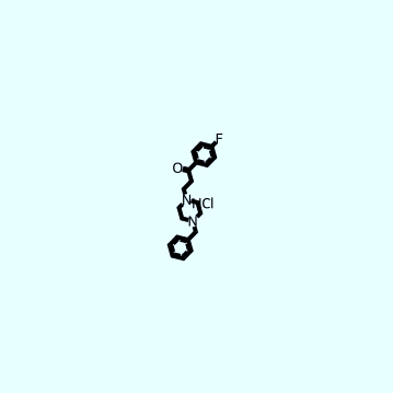 Cl.O=C(CCN1CCN(Cc2ccccc2)CC1)c1ccc(F)cc1